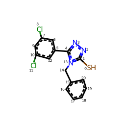 Sc1nnc(-c2cc(Cl)cc(Cl)c2)n1Cc1ccccc1